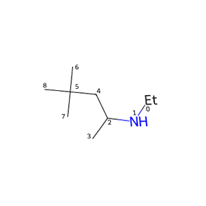 CCNC(C)CC(C)(C)C